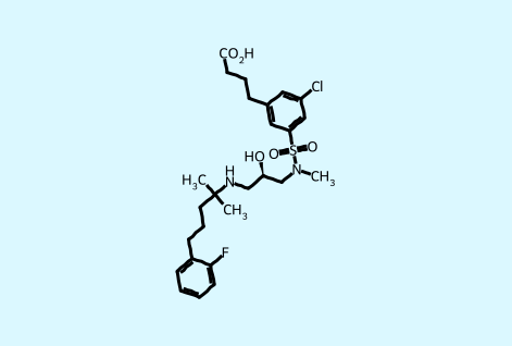 CN(C[C@H](O)CNC(C)(C)CCCc1ccccc1F)S(=O)(=O)c1cc(Cl)cc(CCCC(=O)O)c1